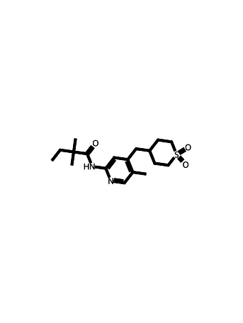 CCC(C)(C)C(=O)Nc1cc(CC2CCS(=O)(=O)CC2)c(C)cn1